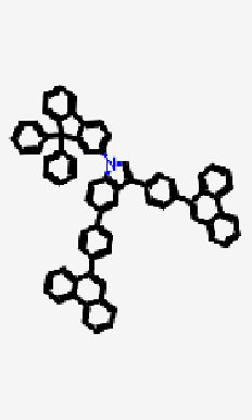 c1ccc(C2(c3ccccc3)c3ccccc3-c3ccc(-n4cc(-c5ccc(-c6cc7ccccc7c7ccccc67)cc5)c5cc(-c6ccc(-c7cc8ccccc8c8ccccc78)cc6)ccc54)cc32)cc1